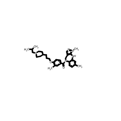 Cc1ccc2c(c1)Nc1c(cnn1C)CN2C(=O)c1ccc(OCCCC2CCN(CC(C)C)CC2)c(C)c1